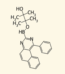 CC(C)(O)C(C)(C)OBc1nc(-c2ccccc2)c2c(ccc3ccccc32)n1